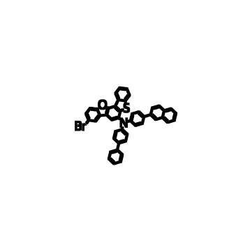 Brc1ccc2oc3c(cc(N(c4ccc(-c5ccccc5)cc4)c4ccc(-c5ccc6ccccc6c5)cc4)c4sc5ccccc5c43)c2c1